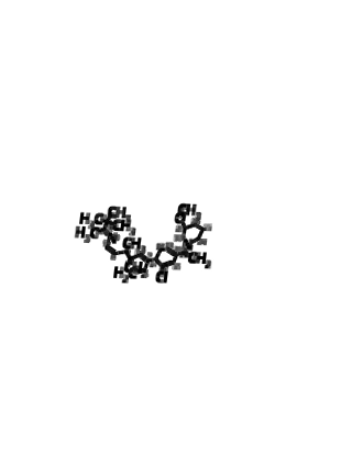 C=C/C(=C\C(=C)C(C)/C=C\N=C(/C)C(C)(C)C)C1CC=C(C(=C)N2CCCC(OC)C2)C=C1Cl